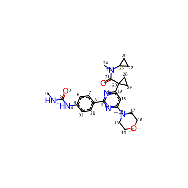 CNC(=O)Nc1ccc(-c2nc(N3CCOCC3)cc(C3(C(=O)N(C)C4CC4)CC3)n2)cc1